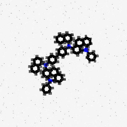 c1ccc(-n2c3cccc4ccc5c(N(c6ccc(-c7ccc(N(c8cccc9ccccc89)c8ccc9c%10c8ccc8cccc(c8%10)n9-c8ccccc8)cc7)cc6)c6cccc7ccccc67)ccc2c5c43)cc1